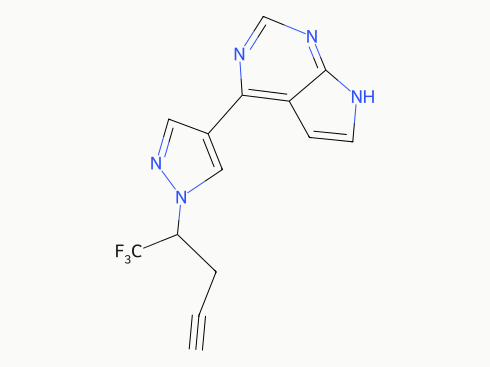 C#CCC(n1cc(-c2ncnc3[nH]ccc23)cn1)C(F)(F)F